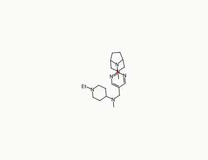 CCN1CCC(N(C)Cc2cnc(N3C4CCC3CN(C)C4)nc2)CC1